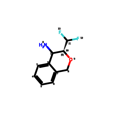 NC1c2ccccc2CO[C@H]1C(F)F